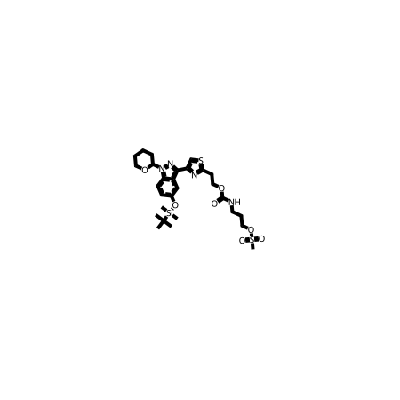 CC(C)(C)[Si](C)(C)Oc1ccc2c(c1)c(-c1csc(CCOC(=O)NCCCOS(C)(=O)=O)n1)nn2C1CCCCO1